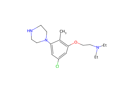 CCN(CC)CCOc1cc(Cl)cc(N2CCNCC2)c1C